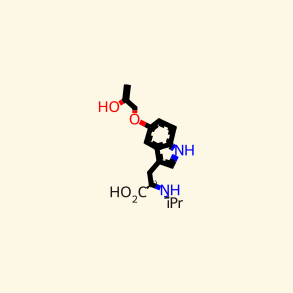 C=C(O)COc1ccc2[nH]cc(C[C@H](NC(C)C)C(=O)O)c2c1